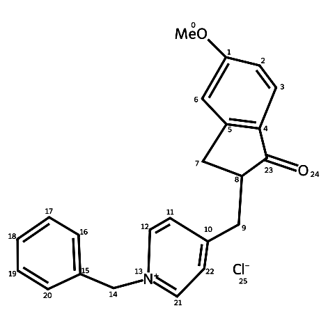 COc1ccc2c(c1)CC(Cc1cc[n+](Cc3ccccc3)cc1)C2=O.[Cl-]